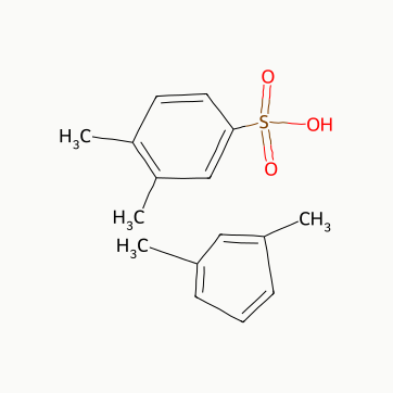 Cc1ccc(S(=O)(=O)O)cc1C.Cc1cccc(C)c1